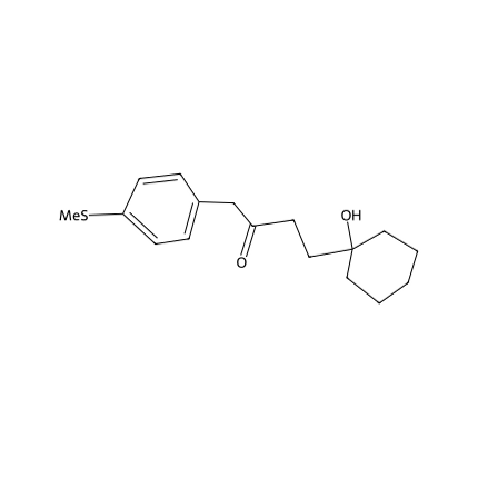 CSc1ccc(CC(=O)CCC2(O)CCCCC2)cc1